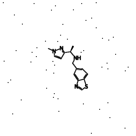 C[C@@H](NCc1ccc2scnc2c1)c1ccn(C)n1